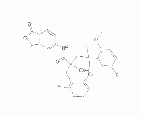 COc1ccc(F)cc1C(C)(C)CC(O)(Cc1c(F)cccc1Cl)C(=O)Nc1ccc2c(c1)COC2=O